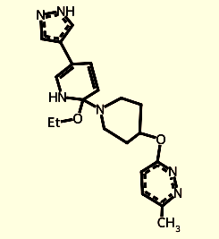 CCOC1(N2CCC(Oc3ccc(C)nn3)CC2)C=CC(c2cn[nH]c2)=CN1